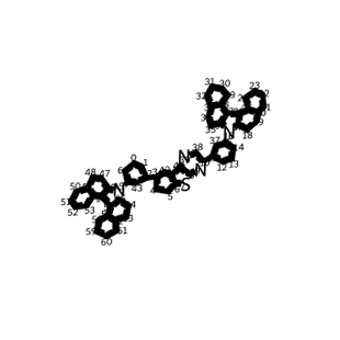 c1cc(-c2ccc3sc4nc(-c5cccc(-n6c7ccc8ccccc8c7c7c8ccccc8ccc76)c5)cnc4c3c2)cc(-n2c3ccc4ccccc4c3c3c4ccccc4ccc32)c1